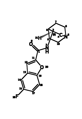 O=C(N[C@@H]1CN2CCC1CC2)c1cc2cc(F)ccc2o1